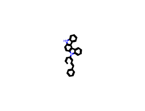 C\C=C/C(=C\C=C\c1ccccc1)n1c2ccccc2c2c3c(ccc21)[nH]c1ccccc13